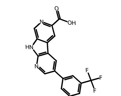 O=C(O)c1cc2c(cn1)[nH]c1ncc(-c3cccc(C(F)(F)F)c3)cc12